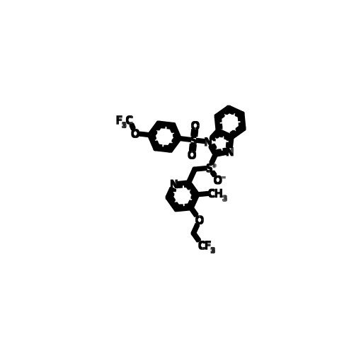 Cc1c(OCC(F)(F)F)ccnc1C[S+]([O-])c1nc2ccccc2n1S(=O)(=O)c1ccc(OC(F)(F)F)cc1